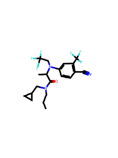 CCCN(CC1CC1)C(=O)C(C)N(CC(F)(F)F)c1ccc(C#N)c(C(F)(F)F)c1